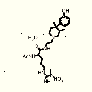 CC(=O)NC(CCCNC(=N)N[N+](=O)[O-])C(=O)NCCN1CCC(C)(c2cccc(O)c2)C(C)C1.O